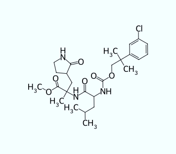 COC(=O)C(C)(CC1CCNC1=O)NC(=O)C(CC(C)C)NC(=O)OCC(C)(C)c1cccc(Cl)c1